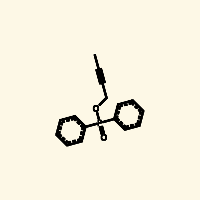 CC#CCOP(=O)(c1ccccc1)c1ccccc1